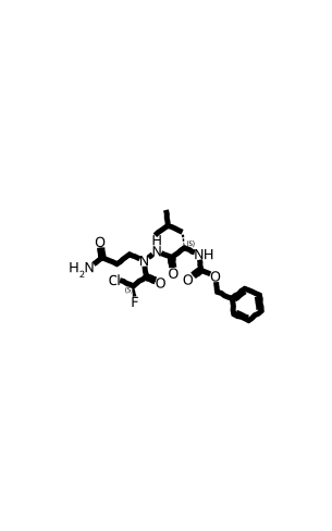 CC(C)C[C@H](NC(=O)OCc1ccccc1)C(=O)NN(CCC(N)=O)C(=O)[C@@H](F)Cl